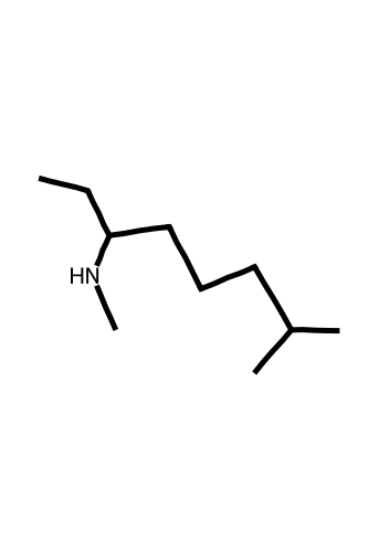 CCC(CCCC(C)C)NC